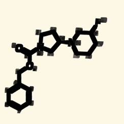 O=C(OCc1ccccc1)N1CC[C@@H](N2CCCC(F)C2)C1